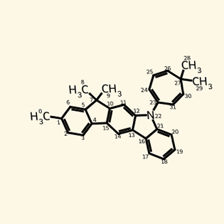 Cc1ccc2c(c1)C(C)(C)c1cc3c(cc1-2)c1ccccc1n3C1=CC=CC(C)(C)C=C1